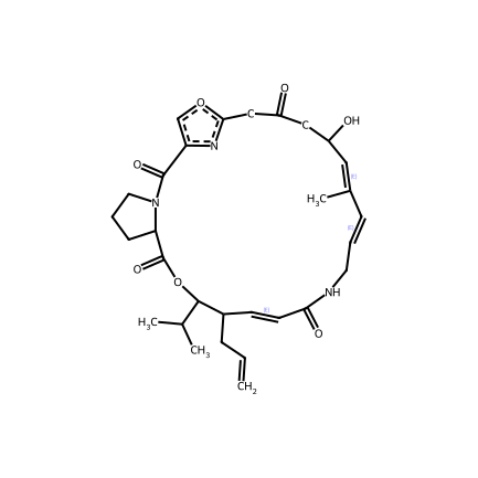 C=CCC1/C=C/C(=O)NC/C=C/C(C)=C/C(O)CC(=O)Cc2nc(co2)C(=O)N2CCCC2C(=O)OC1C(C)C